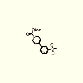 COC(=O)N1CC=C(c2cccc(S(C)(=O)=O)c2)CC1